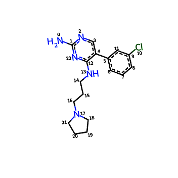 Nc1ncc(-c2cccc(Cl)c2)c(NCCCN2CCCC2)n1